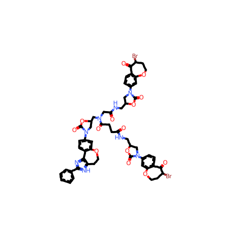 O=C(CCC(=O)N(CC(=O)NCC1CN(c2ccc3c(c2)OCCC(Br)C3=O)C(=O)O1)CC1CN(c2ccc3c(c2)OCCc2[nH]c(-c4ccccc4)nc2-3)C(=O)O1)NCC1CN(c2ccc3c(c2)OCCC(Br)C3=O)C(=O)O1